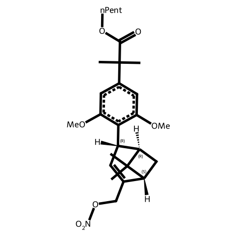 CCCCCOC(=O)C(C)(C)c1cc(OC)c([C@H]2C=C(CO[N+](=O)[O-])[C@H]3C[C@H]2C3(C)C)c(OC)c1